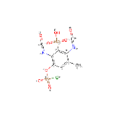 Cc1cc(OS(=O)(=O)Cl)c(N=C=O)c(S(=O)(=O)O)c1N=C=O